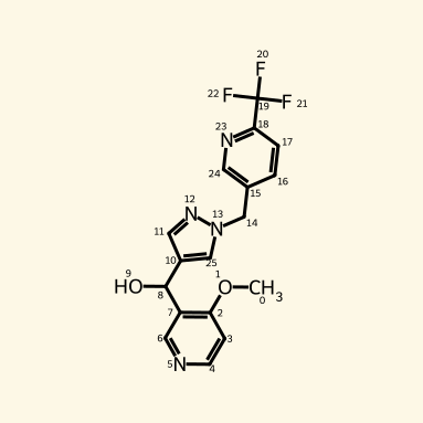 COc1ccncc1C(O)c1cnn(Cc2ccc(C(F)(F)F)nc2)c1